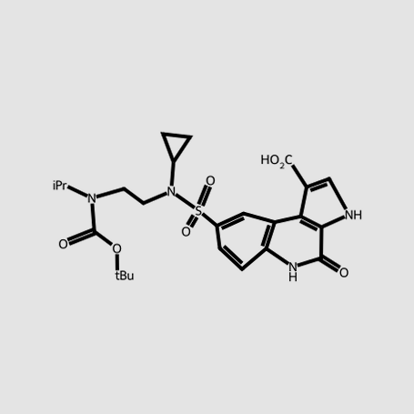 CC(C)N(CCN(C1CC1)S(=O)(=O)c1ccc2[nH]c(=O)c3[nH]cc(C(=O)O)c3c2c1)C(=O)OC(C)(C)C